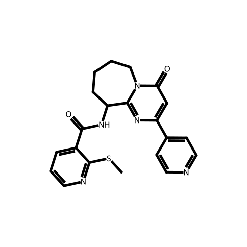 CSc1ncccc1C(=O)NC1CCCCn2c1nc(-c1ccncc1)cc2=O